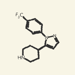 FC(F)(F)c1ccc(-n2nccc2C2CCNCC2)cc1